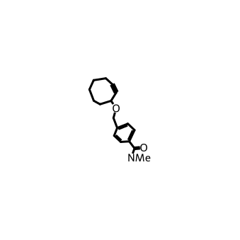 CNC(=O)c1ccc(COC2C#CCCCCC2)cc1